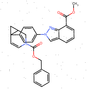 COC(=O)c1cccc2cn(-c3ccc(C45C=CN(C(=O)OCc6ccccc6)CC4C5)cc3)nc12